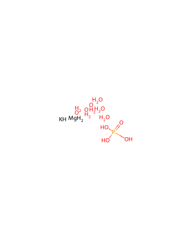 O.O.O.O.O.O.O=P(O)(O)O.[KH].[MgH2]